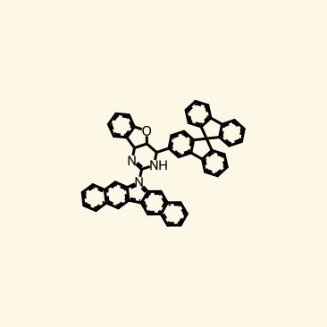 c1ccc2c(c1)OC1C2N=C(n2c3cc4ccccc4cc3c3cc4ccccc4cc32)NC1c1ccc2c(c1)-c1ccccc1C21c2ccccc2-c2ccccc21